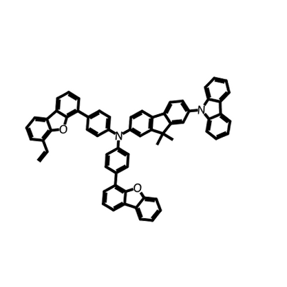 C=Cc1cccc2c1oc1c(-c3ccc(N(c4ccc(-c5cccc6c5oc5ccccc56)cc4)c4ccc5c(c4)C(C)(C)c4cc(-n6c7ccccc7c7ccccc76)ccc4-5)cc3)cccc12